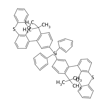 CC(C)(C)c1ccc([Si](c2ccccc2)(c2ccccc2)c2ccc(C(C)(C)C)c(-c3cccc4c3Oc3ccccc3S4)c2)cc1-c1cccc2c1Oc1ccccc1S2